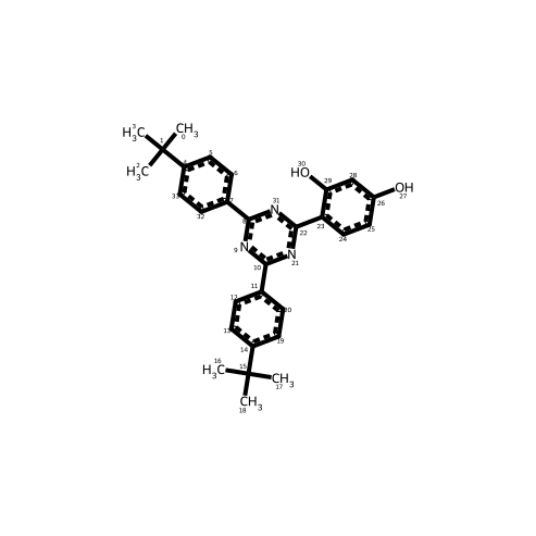 CC(C)(C)c1ccc(-c2nc(-c3ccc(C(C)(C)C)cc3)nc(-c3ccc(O)cc3O)n2)cc1